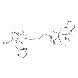 CC(C)C(CC1NCCO1)(OC(=O)CCCCC(=O)OC(CC1NCCO1)(C(C)C)C(C)C)C(C)C